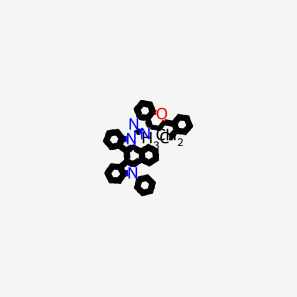 C=C1/C(=c2/cccc/c2=C/C)Oc2cccc3nc(-n4c5ccccc5c5c6c7ccccc7n(-c7ccccc7)c6c6ccccc6c54)nc1c23